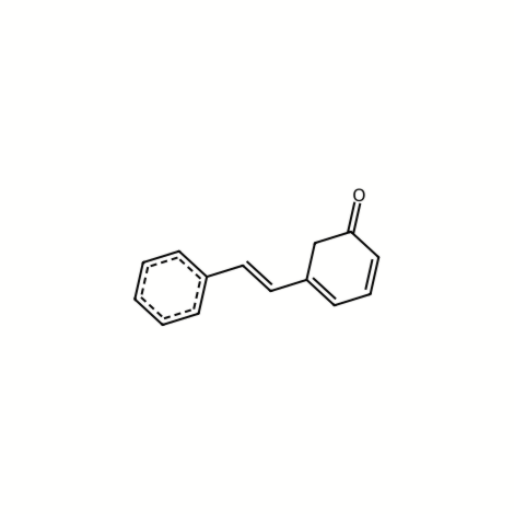 O=C1C=CC=C(C=Cc2ccccc2)C1